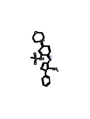 CS(=O)(=O)NC1=CC(=[N+]2CCOCC2)C=C/C1=N/c1cnn(-c2ccccc2)c1N